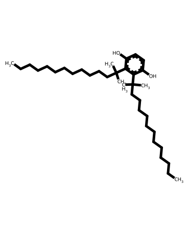 CCCCCCCCCCCCC(C)(C)c1c(O)ccc(O)c1C(C)(C)CCCCCCCCCCCC